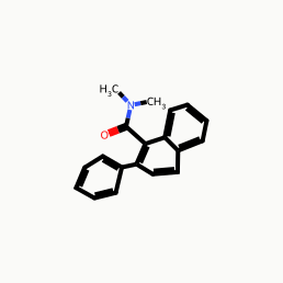 CN(C)C(=O)c1c(-c2ccccc2)ccc2ccccc12